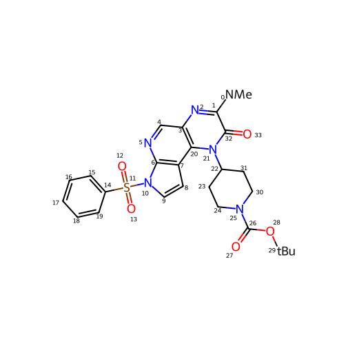 CNc1nc2cnc3c(ccn3S(=O)(=O)c3ccccc3)c2n(C2CCN(C(=O)OC(C)(C)C)CC2)c1=O